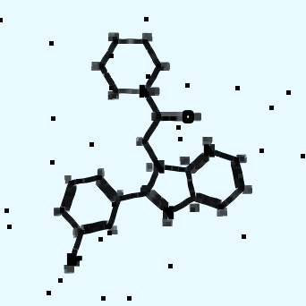 O=C(Cn1c(-c2cccc(Br)c2)nc2cccnc21)N1CCCCC1